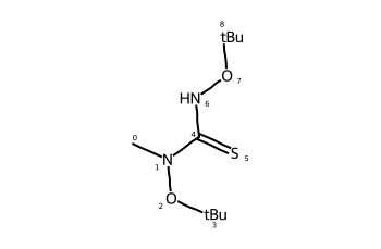 CN(OC(C)(C)C)C(=S)NOC(C)(C)C